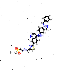 CS(=O)(=O)CCNCc1csc(-c2ccc3c(Nc4ccc5c(cnn5Cc5ccccc5)c4)ccnc3c2)n1